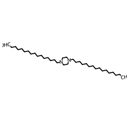 O=CCCCCCCCCCCCCCCCN1CCN(CCCCCCCCCCCCCCCC=O)CC1